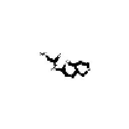 N#CCC(=O)Nc1ccc2cnccc2n1